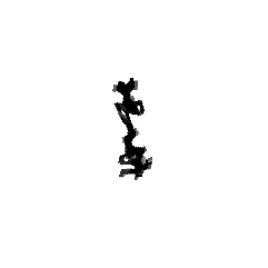 C=C(C)C(=O)OCCC1CC(C(F)(F)F)O1